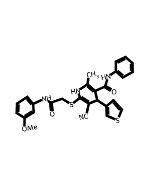 COc1cccc(NC(=O)CSC2=C(C#N)C(c3ccsc3)C(C(=O)Nc3ccccc3)=C(C)N2)c1